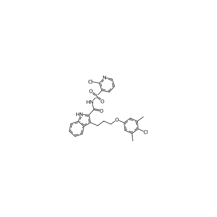 Cc1cc(OCCCc2c(C(=O)NS(=O)(=O)c3cccnc3Cl)[nH]c3ccccc23)cc(C)c1Cl